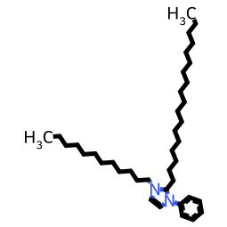 CCCCCCCCCCCCCCCCCCC1N(CCCCCCCCCCCC)C=CN1c1ccccc1